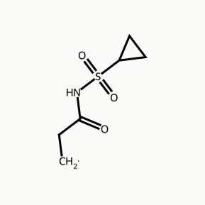 [CH2]CC(=O)NS(=O)(=O)C1CC1